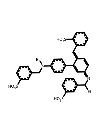 CCC(N=C1C=CC(=Cc2ccccc2S(=O)(=O)O)C(c2ccc(N(CC)Cc3cccc(S(=O)(=O)O)c3)cc2)=C1)c1cccc(S(=O)(=O)O)c1